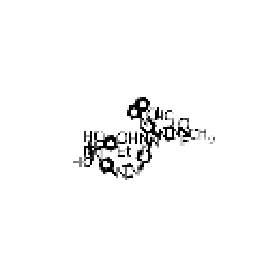 C=C(F)C(=O)N1CCN(c2nc(N3CCC(CN4CCN(Cc5ccc(-n6c(O)nnc6-c6cc(CC)c(O)cc6O)cc5)CC4)CC3)nc3c2CCN(c2cccc4cccc(Cl)c24)C3)C[C@@H]1CC#N